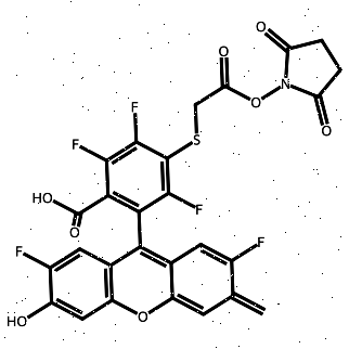 C=c1cc2c(cc1F)=C(c1c(F)c(SCC(=O)ON3C(=O)CCC3=O)c(F)c(F)c1C(=O)O)c1cc(F)c(O)cc1O2